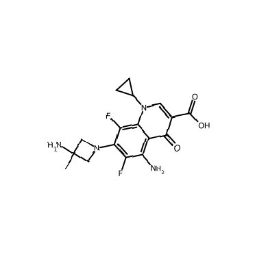 CC1(N)CN(c2c(F)c(N)c3c(=O)c(C(=O)O)cn(C4CC4)c3c2F)C1